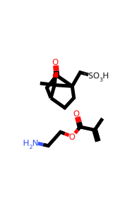 C=C(C)C(=O)OCCN.CC1(C)C2CCC1(CS(=O)(=O)O)C(=O)C2